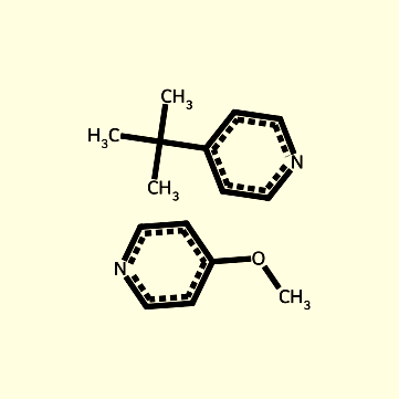 CC(C)(C)c1ccncc1.COc1ccncc1